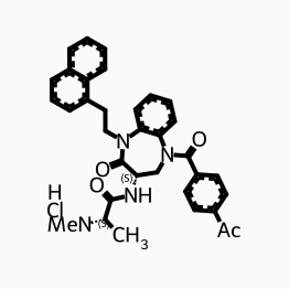 CN[C@@H](C)C(=O)N[C@H]1CN(C(=O)c2ccc(C(C)=O)cc2)c2ccccc2N(CCc2cccc3ccccc23)C1=O.Cl